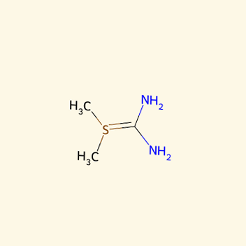 CS(C)=C(N)N